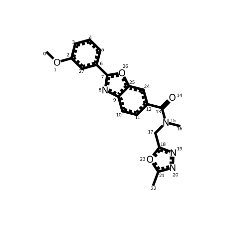 COc1cccc(-c2nc3ccc(C(=O)N(C)Cc4nnc(C)o4)cc3o2)c1